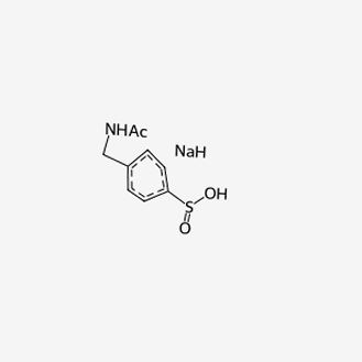 CC(=O)NCc1ccc(S(=O)O)cc1.[NaH]